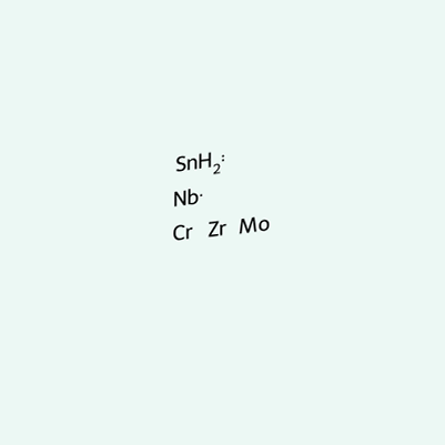 [Cr].[Mo].[Nb].[SnH2].[Zr]